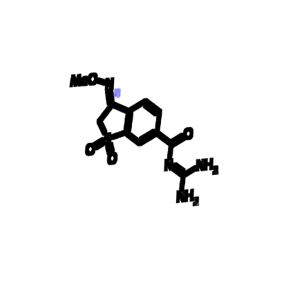 CO/N=C1\CS(=O)(=O)c2cc(C(=O)N=C(N)N)ccc21